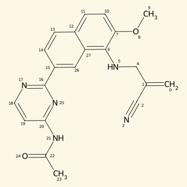 C=C(C#N)CNc1c(OC)ccc2ccc(-c3nccc(NC(C)=O)n3)cc12